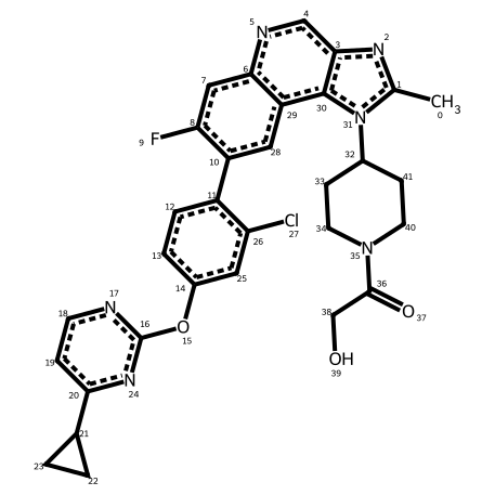 Cc1nc2cnc3cc(F)c(-c4ccc(Oc5nccc(C6CC6)n5)cc4Cl)cc3c2n1C1CCN(C(=O)CO)CC1